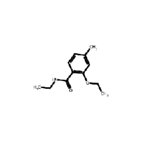 CCNC(=O)c1ccc(C)cc1OCC